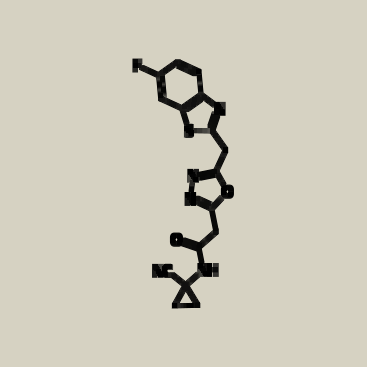 N#CC1(NC(=O)Cc2nnc(Cc3nc4ccc(F)cc4s3)o2)CC1